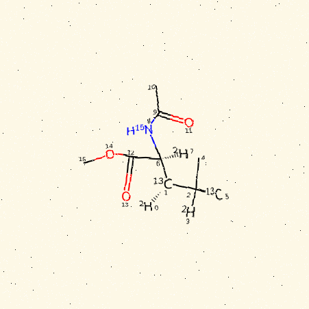 [2H][13C@@H](C([2H])(C)[13CH3])[C@]([2H])([15NH]C(C)=O)C(=O)OC